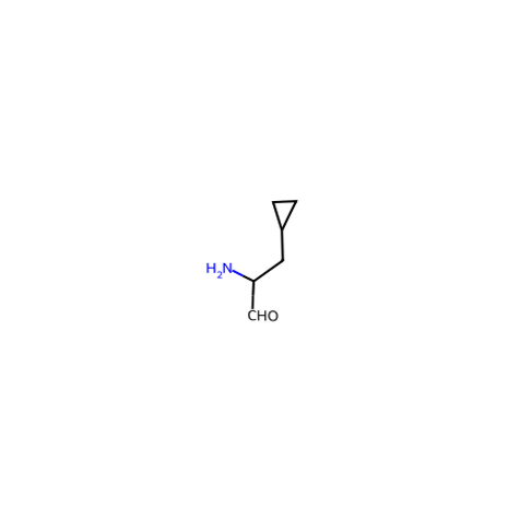 NC(C=O)CC1CC1